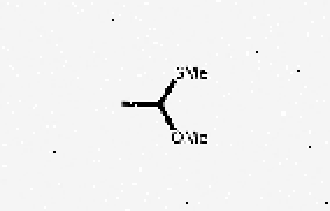 CO[C](C)SC